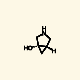 O[C@]12CNC[C@@H]1C2